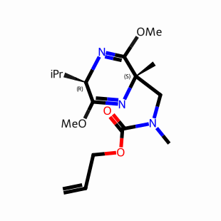 C=CCOC(=O)N(C)C[C@]1(C)N=C(OC)[C@@H](C(C)C)N=C1OC